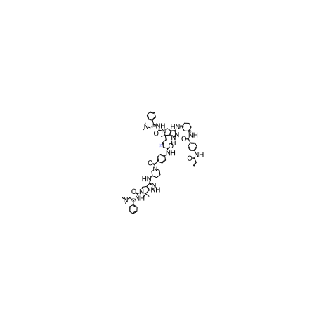 C=CC(=O)Nc1ccc(C(=O)N[C@@H]2CCC[C@@H](Nc3n[nH]c4c3CN(C(=O)N[C@H](CN(C)C)c3ccccc3)C4(C)C/C=C\C(=O)Nc3ccc(C(=O)N4CCCC(Nc5n[nH]c6c5CN(C(=O)N[C@H](CN(C)C)c5ccccc5)C6(C)C)C4)cc3)C2)cc1